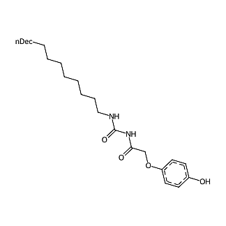 CCCCCCCCCCCCCCCCCCNC(=O)NC(=O)COc1ccc(O)cc1